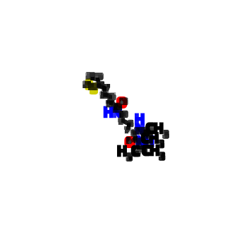 CC(C)NC(=O)[C@H](CCCCNC(=O)CCCCC1CCSS1)NC(C)C